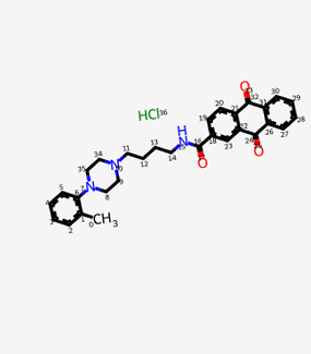 Cc1ccccc1N1CCN(CCCCNC(=O)c2ccc3c(c2)C(=O)c2ccccc2C3=O)CC1.Cl